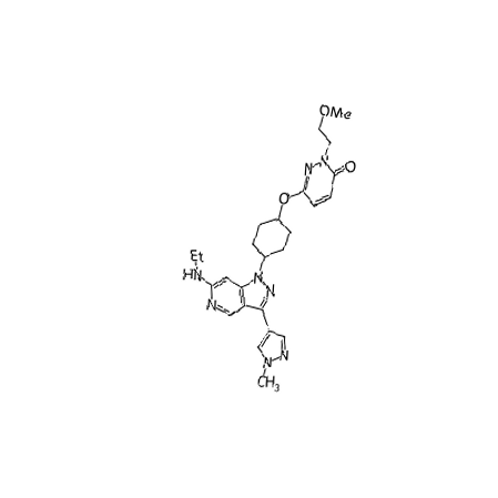 CCNc1cc2c(cn1)c(-c1cnn(C)c1)nn2C1CCC(Oc2ccc(=O)n(CCOC)n2)CC1